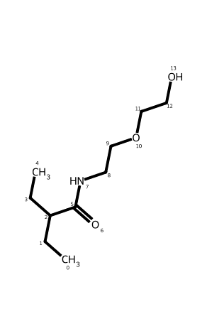 CCC(CC)C(=O)NCCOCCO